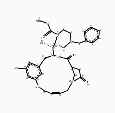 CC(C)(C)OC(=O)N1CCN(Cc2ccccc2)C[C@@H]1[C@@H](O)[C@@H]1Cc2cc(F)cc(c2)OCC=CCN2CC(CC2=O)C(=O)N1